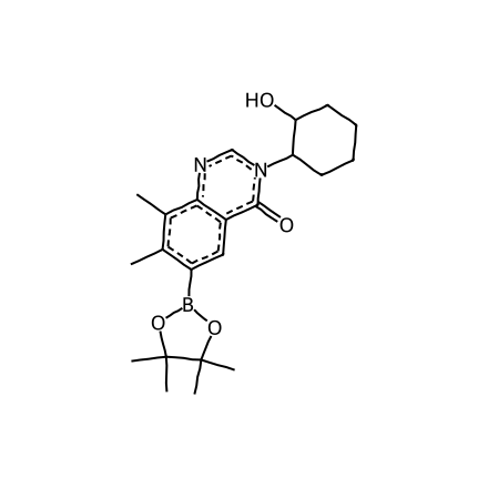 Cc1c(B2OC(C)(C)C(C)(C)O2)cc2c(=O)n(C3CCCCC3O)cnc2c1C